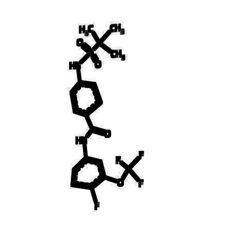 CC(C)(C)S(=O)(=O)Nc1ccc(C(=O)Nc2ccc(F)c(OC(F)(F)F)c2)cc1